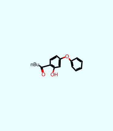 CCCCC(=O)c1ccc(Oc2ccccc2)cc1O